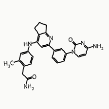 Cc1cc(Nc2cc(-c3cccc(-n4ccc(N)nc4=O)c3)nc3c2CCC3)ccc1CC(N)=O